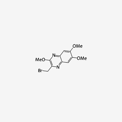 COc1cc2nc(CBr)c(OC)nc2cc1OC